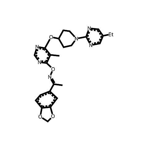 CCc1cnc(N2CCC(Oc3ncnc(ON=C(C)c4ccc5c(c4)OCO5)c3C)CC2)nc1